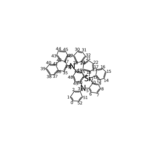 c1ccc(N2c3ccccc3[Si](c3ccccc3)(c3ccccc3)c3cc(N(c4ccccc4)c4cc5ccccc5c5ccccc45)ccc32)cc1